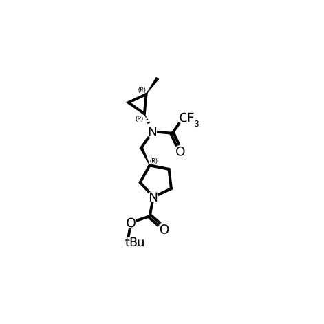 C[C@@H]1C[C@H]1N(C[C@H]1CCN(C(=O)OC(C)(C)C)C1)C(=O)C(F)(F)F